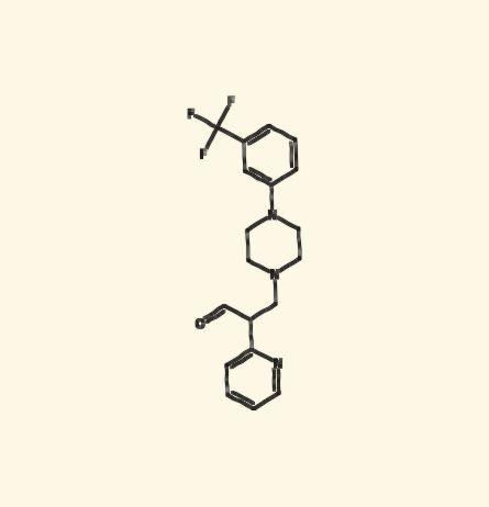 O=CC(CN1CCN(c2cccc(C(F)(F)F)c2)CC1)c1ccccn1